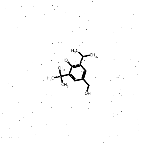 CC(C)c1cc(CO)cc(C(C)(C)C)c1O